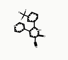 N#Cc1cc(-c2ccncc2)c(-c2cccc(C(F)(F)F)c2)[nH]c1=O